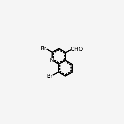 O=Cc1cc(Br)nc2c(Br)cccc12